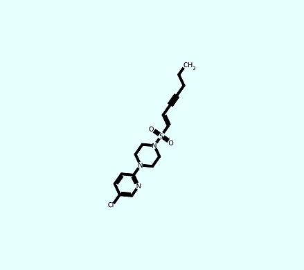 CCCC#CC=CS(=O)(=O)N1CCN(c2ccc(Cl)cn2)CC1